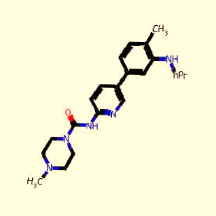 CCCNc1cc(-c2ccc(NC(=O)N3CCN(C)CC3)nc2)ccc1C